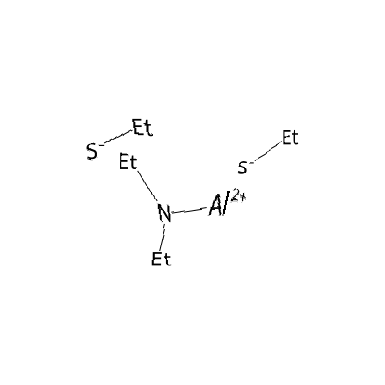 CC[N]([Al+2])CC.CC[S-].CC[S-]